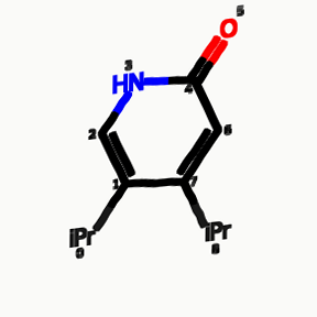 CC(C)c1c[nH]c(=O)cc1C(C)C